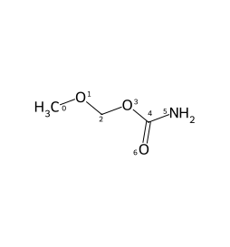 COCOC(N)=O